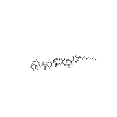 CCCCCCCOc1ccc(C(=O)Oc2ccc(CC(NC(=O)c3ccc(NC(=O)Cc4cccc5ccccc45)cc3)C(=O)O)cc2OC)cc1